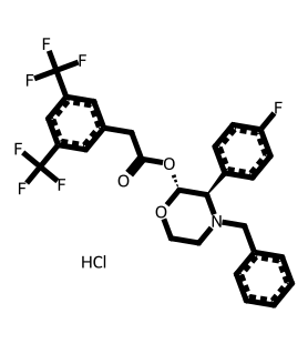 Cl.O=C(Cc1cc(C(F)(F)F)cc(C(F)(F)F)c1)O[C@H]1OCCN(Cc2ccccc2)[C@@H]1c1ccc(F)cc1